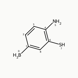 Bc1ccc(N)c(S)c1